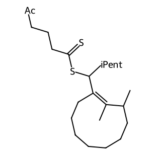 CCCC(C)C(SC(=S)CCCC(C)=O)/C1=C(/C)C(C)CCCCCCC1